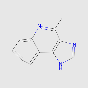 Cc1nc2ccccc2c2[nH]cnc12